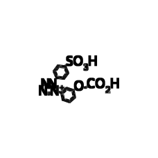 O=C(O)COc1cccc(-[n+]2cnnn2-c2ccc(S(=O)(=O)O)cc2)c1